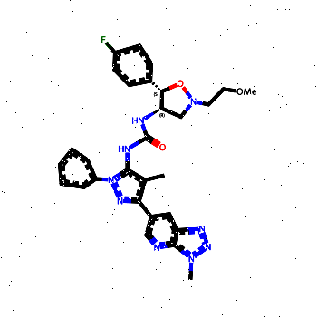 COCCN1C[C@@H](NC(=O)Nc2c(C)c(-c3cnc4c(c3)nnn4C)nn2-c2ccccc2)[C@H](c2ccc(F)cc2)O1